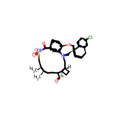 C[C@@H]1CCC(C=O)[C@@H]2CC[C@H]2CN2C[C@@]3(CCCc4cc(Cl)ccc43)COc3ccc(cc32)C(=O)NS(=O)(=O)C[C@@H]1C